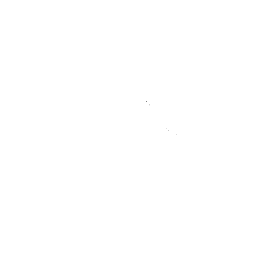 CCC(C)(CC)c1cc(N)no1